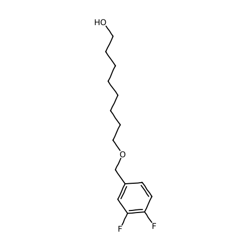 OCCCCCCCCOCc1ccc(F)c(F)c1